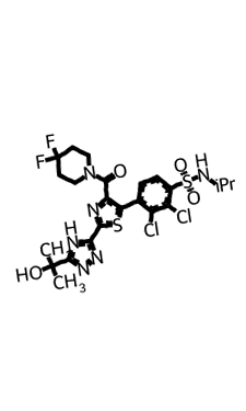 CC(C)NS(=O)(=O)c1ccc(-c2sc(-c3nnc(C(C)(C)O)[nH]3)nc2C(=O)N2CCC(F)(F)CC2)c(Cl)c1Cl